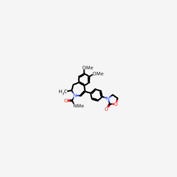 CNC(=O)N1C=C(c2ccc(N3CCOC3=O)cc2)c2cc(OC)c(OC)cc2CC1C